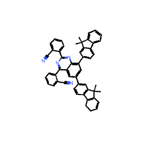 CC1(C)C2=C(CCC=C2)c2ccc(-c3cc(-c4ccc5c(c4)C(C)(C)c4ccccc4-5)c4nc(-c5ccccc5C#N)nc(-c5ccccc5C#N)c4c3)cc21